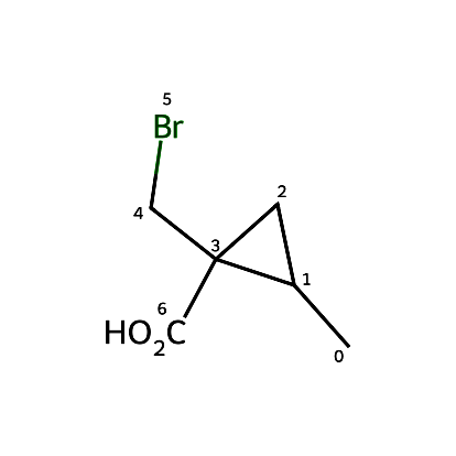 CC1CC1(CBr)C(=O)O